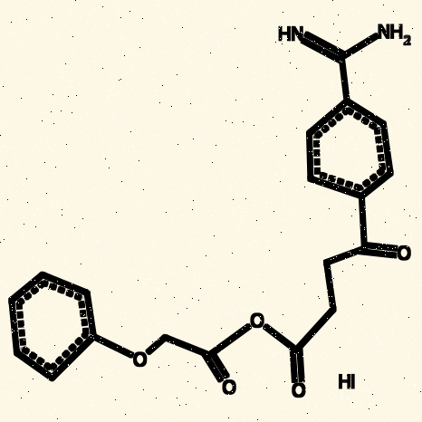 I.N=C(N)c1ccc(C(=O)CCC(=O)OC(=O)COc2ccccc2)cc1